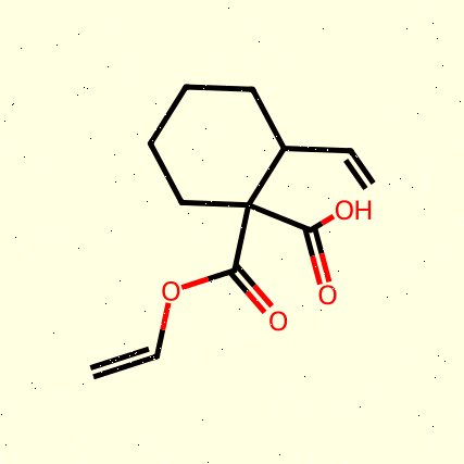 C=COC(=O)C1(C(=O)O)CCCCC1C=C